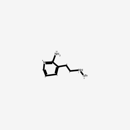 CCCNCCc1cccnc1N